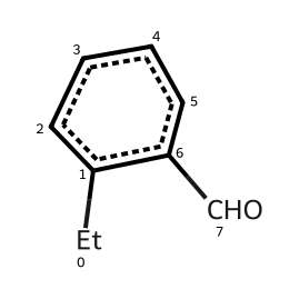 CCc1ccccc1C=O